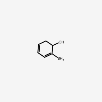 BC1=CC=CCC1O